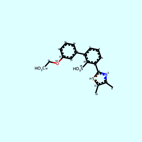 Cc1nc(-c2[c]ccc(-c3cccc(OCC(=O)O)c3)c2S(=O)(=O)O)sc1C